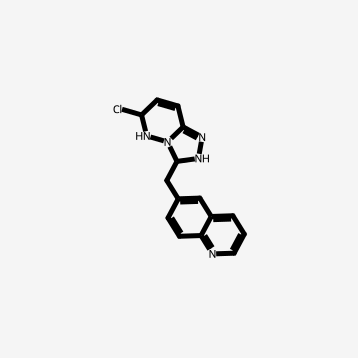 ClC1C=CC2=NNC(Cc3ccc4ncccc4c3)N2N1